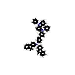 CC1(C)c2ccccc2-c2ccc(N(c3ccc(-c4ccc5c(c4)c4ccc6c(c7ccccc7n6-c6ccccc6)c4n5-c4ccccc4)cc3)c3ccc4c(c3)C(C)(C)c3ccccc3-4)cc21